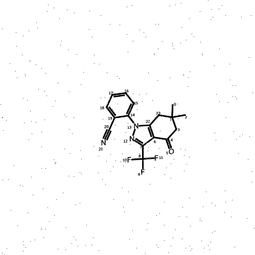 CC1(C)CC(=O)c2c(C(F)(F)F)nn(-c3ccccc3C#N)c2C1